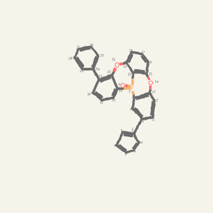 O=P12c3cc(-c4ccccc4)ccc3Oc3cccc(c31)Oc1c(-c3ccccc3)cccc12